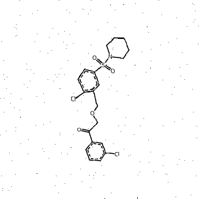 O=C(COCc1cc(S(=O)(=O)N2CCCCC2)ccc1Cl)c1cccc(Cl)c1